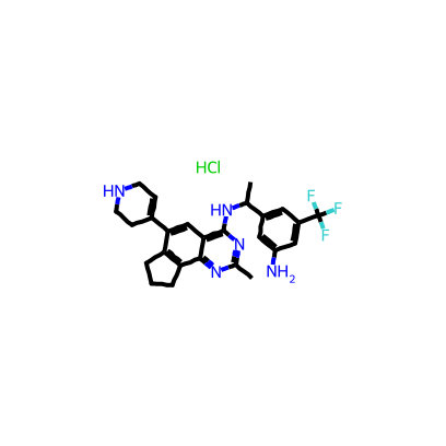 Cc1nc(NC(C)c2cc(N)cc(C(F)(F)F)c2)c2cc(C3=CCNCC3)c3c(c2n1)CCC3.Cl